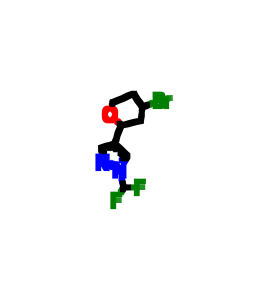 FC(F)n1cc(C2CC(Br)CCO2)cn1